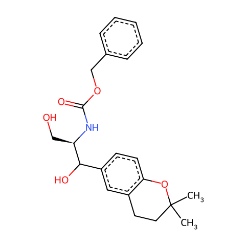 CC1(C)CCc2cc(C(O)[C@@H](CO)NC(=O)OCc3ccccc3)ccc2O1